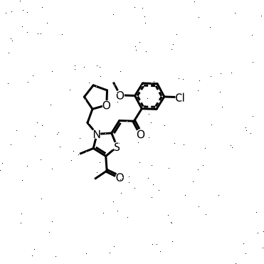 COc1ccc(Cl)cc1C(=O)/C=C1\SC(C(C)=O)=C(C)N1CC1CCCO1